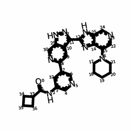 O=C(Nc1cncc(-c2cc3c(-c4nc5c(N6CCCCC6)cncc5[nH]4)n[nH]c3cn2)c1)C1CCC1